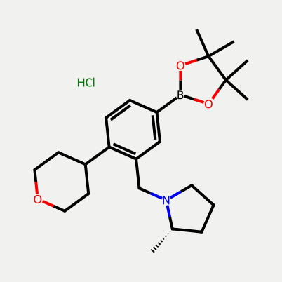 C[C@H]1CCCN1Cc1cc(B2OC(C)(C)C(C)(C)O2)ccc1C1CCOCC1.Cl